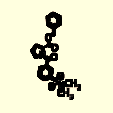 CN(C)S(=O)(=O)c1cccc(C(=O)N2CCC[C@@H]2C(=O)OCc2ccccc2)c1